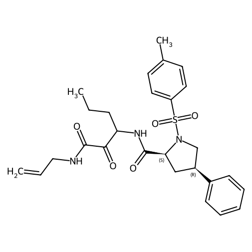 C=CCNC(=O)C(=O)C(CCC)NC(=O)[C@@H]1C[C@H](c2ccccc2)CN1S(=O)(=O)c1ccc(C)cc1